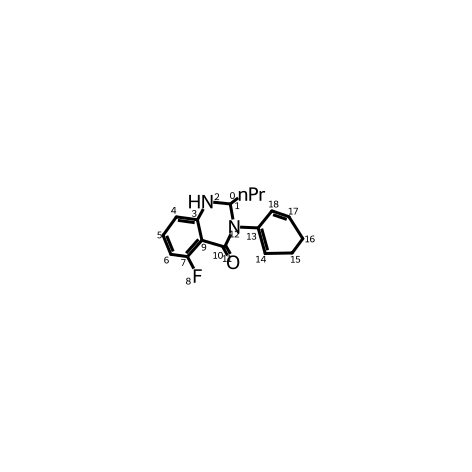 CCCC1Nc2cccc(F)c2C(=O)N1C1=CCCC=C1